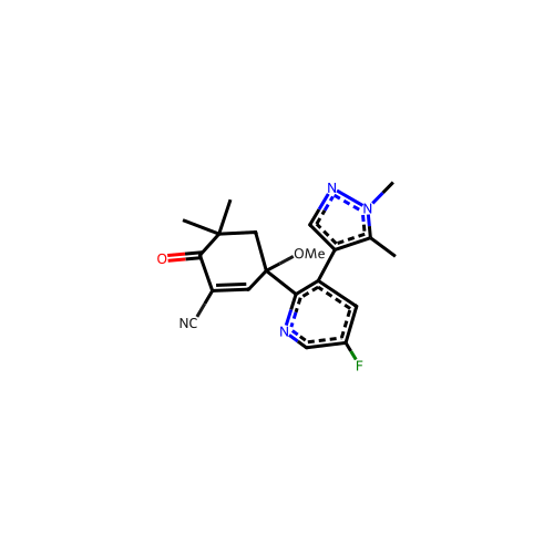 COC1(c2ncc(F)cc2-c2cnn(C)c2C)C=C(C#N)C(=O)C(C)(C)C1